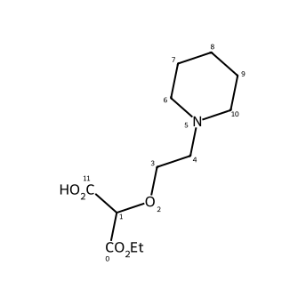 CCOC(=O)C(OCCN1CCCCC1)C(=O)O